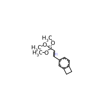 CO[Si](/C=C/c1ccc2c(c1)CC2)(OC)OC